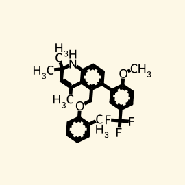 COc1ccc(C(F)(F)F)cc1-c1ccc2c(c1COc1ccccc1C)C(C)=CC(C)(C)N2